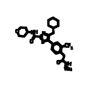 CC(C)(C)NC(=O)Cc1ccc(-c2sc(C(=O)NC3CCOCC3)nc2CC2CCCCC2)cc1C(F)(F)F